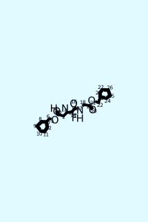 N[C@@H](CC(=O)OCc1ccccc1)[C@@H](F)C(=O)NCC(=O)OCc1ccccc1